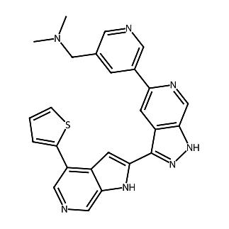 CN(C)Cc1cncc(-c2cc3c(-c4cc5c(-c6cccs6)cncc5[nH]4)n[nH]c3cn2)c1